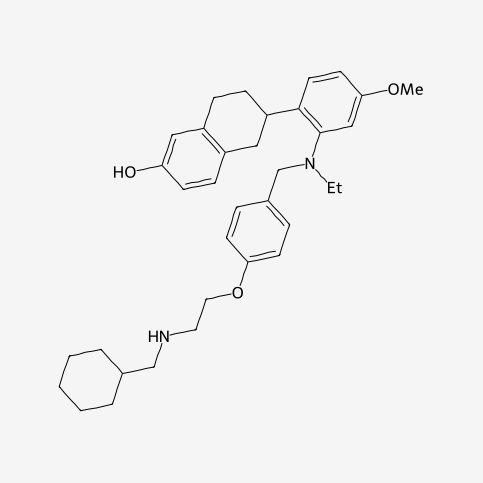 CCN(Cc1ccc(OCCNCC2CCCCC2)cc1)c1cc(OC)ccc1C1CCc2cc(O)ccc2C1